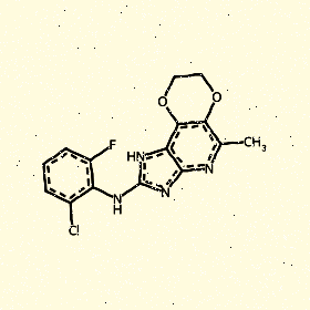 Cc1nc2nc(Nc3c(F)cccc3Cl)[nH]c2c2c1OCCO2